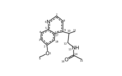 COc1ccc2nccc(C(C)CNC(C)=O)c2c1